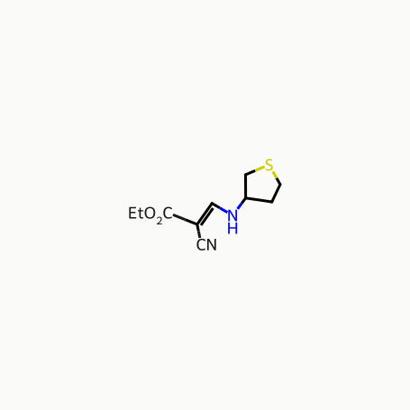 CCOC(=O)C(C#N)=CNC1CCSC1